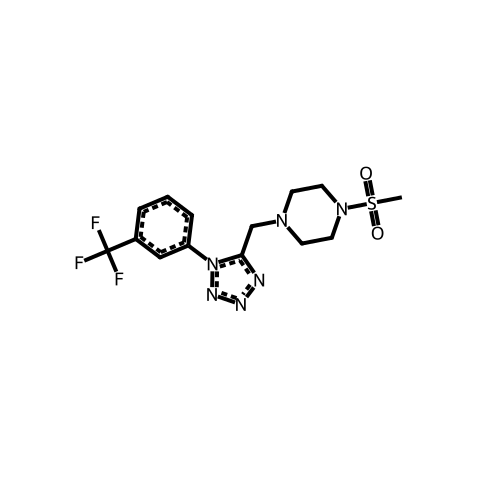 CS(=O)(=O)N1CCN(Cc2nnnn2-c2cccc(C(F)(F)F)c2)CC1